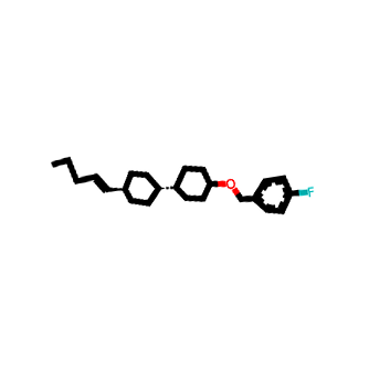 CCC/C=C/[C@H]1CC[C@H](C2CCC(OCc3ccc(F)cc3)CC2)CC1